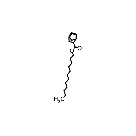 CCCCCCCCCCCCOC(=O)C1CC2=C=CC1C2